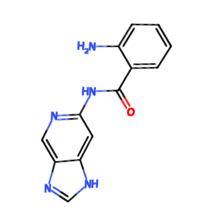 Nc1ccccc1C(=O)Nc1cc2[nH]cnc2cn1